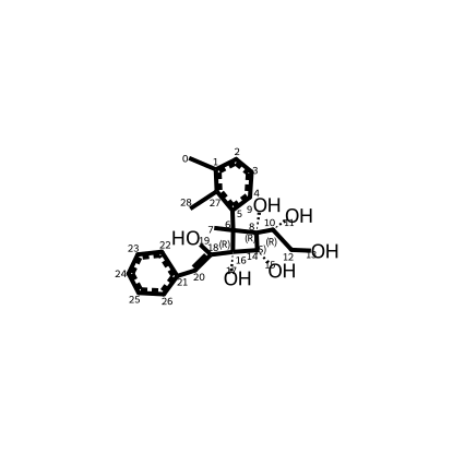 Cc1cccc(C2(C)[C@@](O)([C@H](O)CO)[C@H](O)[C@@]2(O)C(O)=Cc2ccccc2)c1C